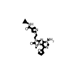 CN1C(=O)N(CCn2cc(C(=O)NC3CC3)cn2)C2N=C3C(=C(c4ccco4)N=CN3N)N21